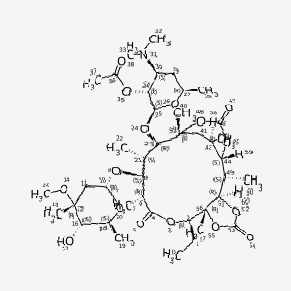 CC[C@H]1OC(=O)[C@H](C)[C@@H](O[C@H]2C[C@@](C)(OC)[C@@H](O)[C@H](C)O2)[C@H](C)[C@@H](O[C@@H]2O[C@H](C)C[C@H](N(C)C)[C@H]2OC(C)=O)[C@@]2(C)C[C@@H](C)[C@H](OC(=O)O2)[C@H](C)[C@H]2OC(=O)O[C@@]21C